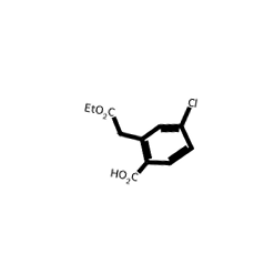 CCOC(=O)[CH]c1cc(Cl)ccc1C(=O)O